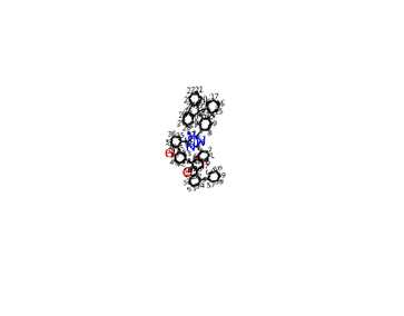 c1ccc(-c2nc(-c3cccc(C4(c5ccccc5)c5ccccc5-c5ccccc54)c3)nc(-c3cccc4oc5ccc(-c6cccc7c6oc6cccc(-c8ccccc8)c67)cc5c34)n2)cc1